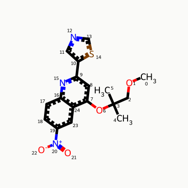 COCC(C)(C)Oc1cc(-c2cncs2)nc2ccc([N+](=O)[O-])cc12